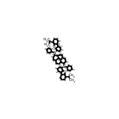 CC(C)c1cccc2c1oc1c(N(c3ccccc3)c3ccc4ccc5c(N(c6ccccc6)c6cccc7c6oc6c(C(C)C)cccc67)ccc6ccc3c4c65)cccc12